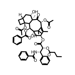 CCCC(=O)O[C@@H](C(=O)O[C@H]1C[C@@]2(O)[C@@H](OC(=O)c3ccccc3)C3[C@](C)(C(=O)[C@H](OC(C)=O)C(=C1C)C2(C)C)[C@@H](O)C[C@H]1CC[C@@]31OC(C)=O)[C@@H](NC(=O)c1ccccc1)c1ccccc1